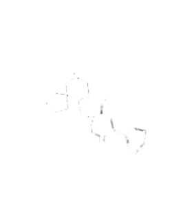 O=c1cc(-c2ccccc2)ncn1CC1CCNCC12CCCC2